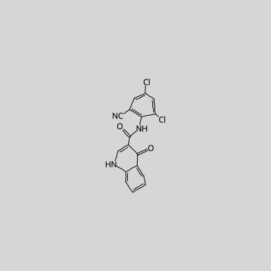 N#Cc1cc(Cl)cc(Cl)c1NC(=O)c1c[nH]c2ccccc2c1=O